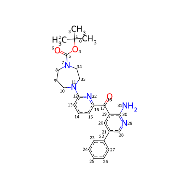 CC(C)(C)OC(=O)N1CCCN(c2cccc(C(=O)c3cc(-c4ccccc4)cnc3N)n2)CC1